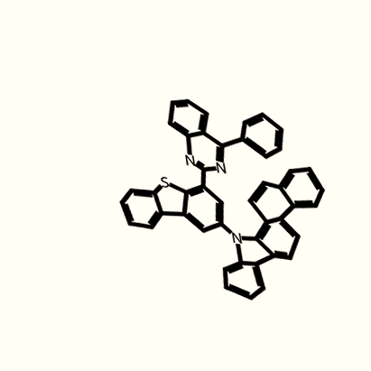 c1ccc(-c2nc(-c3cc(-n4c5ccccc5c5ccc6c7ccccc7ccc6c54)cc4c3sc3ccccc34)nc3ccccc23)cc1